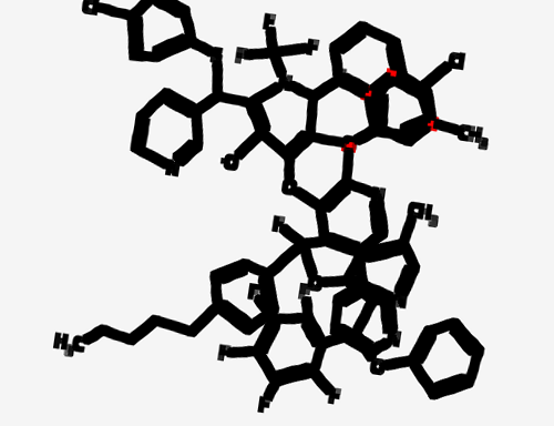 CCCCCc1ccc(C(F)(Oc2cc(C)cnc2C(Oc2ccccc2)c2c(F)c(F)c(F)c(F)c2F)c2c(-c3cccnc3)cnc(Oc3ccc(Cl)cc3)c2OC2=C(Oc3cc(C)ccc3F)C(c3ccccc3)N(C(F)(F)F)C(C(Sc3ccc(Cl)cc3)c3cccnc3)=C2[O])cc1